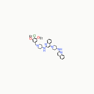 CCOc1cc(CN2CCC(Nc3cc(N4CCC(Nc5ccc6ccccc6n5)CC4)c4ccccc4n3)CC2)cc(OCC)c1Cl